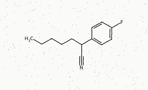 CCCCCC(C#N)c1ccc(F)cc1